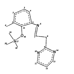 Cc1cccc(N=CCc2ncccn2)c1O[Si](C)(C)C